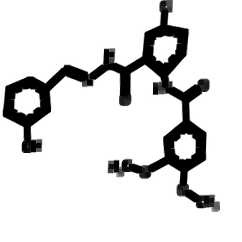 COc1ccc(C(=O)Nc2ccc(Cl)cc2C(=O)NN=Cc2cccc(O)c2)cc1OC